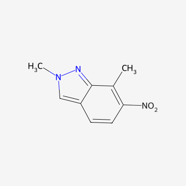 Cc1c([N+](=O)[O-])ccc2cn(C)nc12